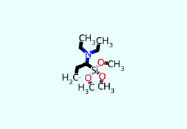 [CH2]CC(N(CC)CC)[Si](OC)(OC)OC